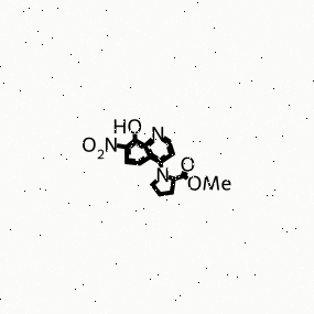 COC(=O)C1CCCN1c1ccnc2c(O)c([N+](=O)[O-])ccc12